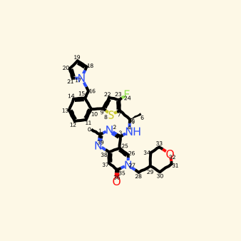 Cc1nc(N[C@H](C)c2sc(-c3ccccc3Cn3cccc3)cc2F)c2cn(CC3CCOCC3)c(=O)cc2n1